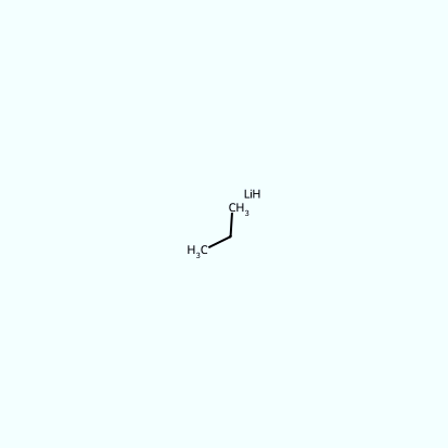 CCC.[LiH]